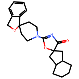 O=C1N=C(N2CCC3(CC2)OCc2ccccc23)OC12CC1CCCCC1C2